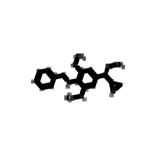 COc1cc([C@@H](OC)[C@H]2CO2)cc(OC)c1OCc1ccccc1